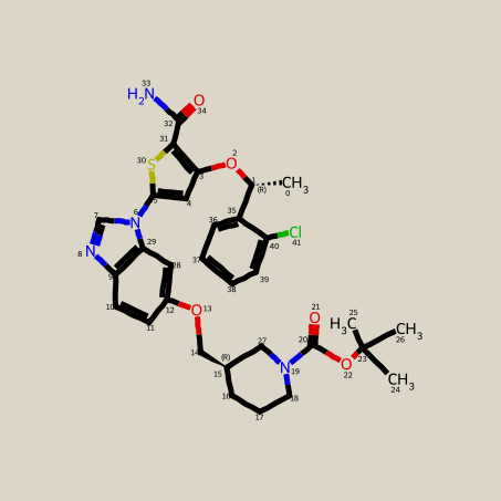 C[C@@H](Oc1cc(-n2cnc3ccc(OC[C@@H]4CCCN(C(=O)OC(C)(C)C)C4)cc32)sc1C(N)=O)c1ccccc1Cl